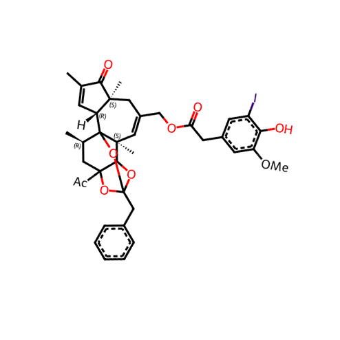 COc1cc(CC(=O)OCC2=C[C@@]3(C)C4OC5(Cc6ccccc6)OC4(C(C)=O)C[C@@H](C)C3(O5)[C@@H]3C=C(C)C(=O)[C@@]3(C)C2)cc(I)c1O